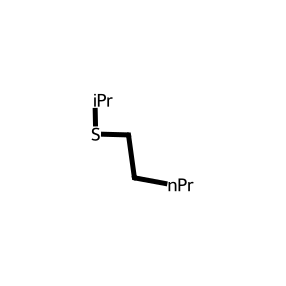 CCCCCSC(C)C